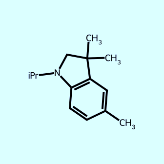 Cc1ccc2c(c1)C(C)(C)CN2C(C)C